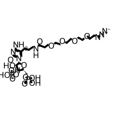 [N-]=[N+]=NCCOCCOCCOCCOCCC(=O)NCCCc1cn([C@@H]2O[C@H](COP(=O)(O)O)C(OP(=O)(O)O)[C@@H]2O)c(=O)nc1N